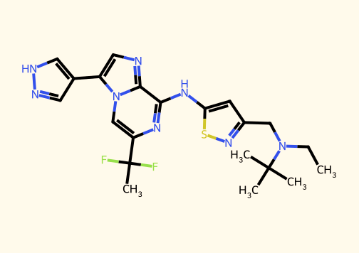 CCN(Cc1cc(Nc2nc(C(C)(F)F)cn3c(-c4cn[nH]c4)cnc23)sn1)C(C)(C)C